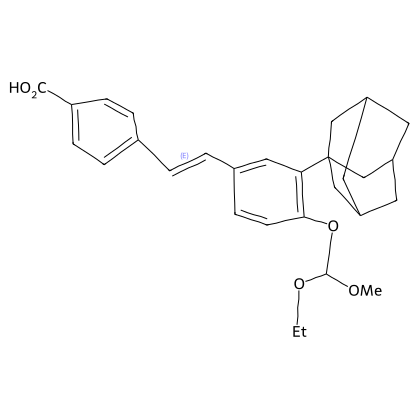 CCOC(OC)Oc1ccc(/C=C/c2ccc(C(=O)O)cc2)cc1C12CC3CC(CC(C3)C1)C2